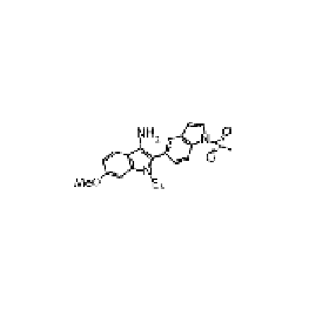 CCn1c(-c2ccc3c(ccn3S(C)(=O)=O)c2)c(N)c2ccc(OC)cc21